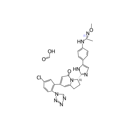 CO/N=C(\C)Nc1ccc(-c2cnc([C@@H]3CCc4cc(-c5cc(Cl)ccc5-n5cnnn5)cc(=O)n43)[nH]2)cc1.O=CO